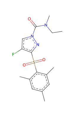 CCN(C)C(=O)n1cc(F)c(S(=O)(=O)c2c(C)cc(C)cc2C)n1